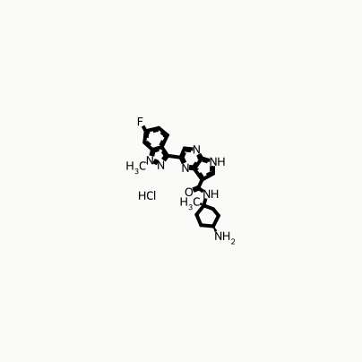 Cl.Cn1nc(-c2cnc3[nH]cc(C(=O)N[C@]4(C)CC[C@@H](N)CC4)c3n2)c2ccc(F)cc21